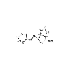 O=[N+]([O-])c1ccc(N=Nc2ccccc2)c2nn[nH]c12